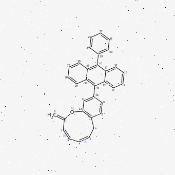 C=C1/C=C\C=C/Cc2ccc(-c3c4ccccc4c(-c4ccccc4)c4ccccc34)cc2O1